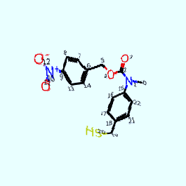 CN(C(=O)OCc1ccc([N+](=O)[O-])cc1)c1ccc(CS)cc1